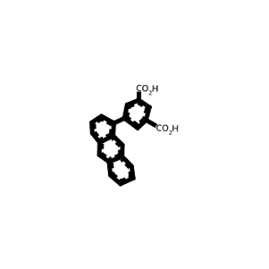 O=C(O)c1cc(C(=O)O)cc(-c2cccc3cc4ccccc4cc23)c1